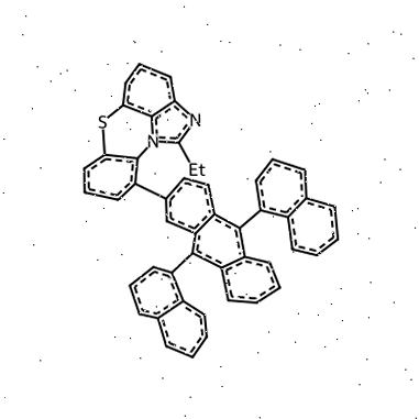 CCc1nc2cccc3c2n1-c1c(cccc1-c1ccc2c(-c4cccc5ccccc45)c4ccccc4c(-c4cccc5ccccc45)c2c1)S3